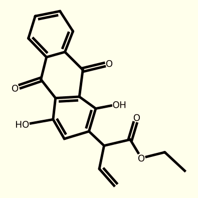 C=CC(C(=O)OCC)c1cc(O)c2c(c1O)C(=O)c1ccccc1C2=O